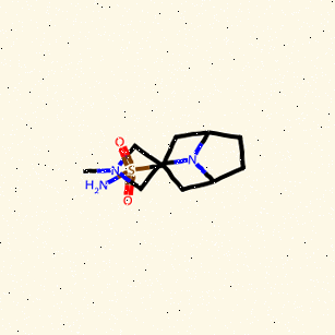 CN1CC(N2C3CCC2CC(S(N)(=O)=O)C3)C1